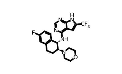 Fc1ccc2c(c1)CC[C@H](N1CCOCC1)[C@H]2Nc1ncnc2[nH]c(C(F)(F)F)cc12